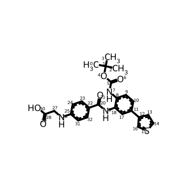 CC(C)(C)OC(=O)Nc1ccc(-c2ccsc2)cc1NC(=O)c1ccc(NCC(=O)O)cc1